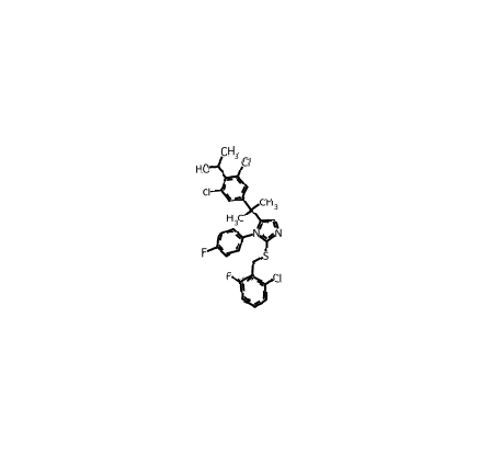 CC(O)c1c(Cl)cc(C(C)(C)c2cnc(SCc3c(F)cccc3Cl)n2-c2ccc(F)cc2)cc1Cl